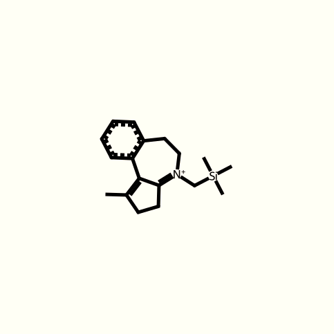 CC1=C2C(=[N+](C[Si](C)(C)C)CCc3ccccc32)CC1